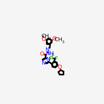 COc1cc(/C=N/NC(=O)c2cncc(-c3ccc(OC4CCCC4)cc3C(F)(F)F)n2)cc(OC)c1